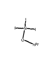 CCCO[Si](I)(I)I